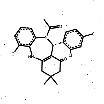 CC(=O)N1c2cccc(O)c2NC2=C(C(=O)CC(C)(C)C2)[C@H]1c1ccc(Cl)cc1Cl